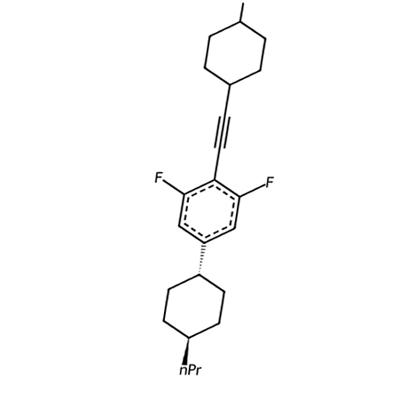 CCC[C@H]1CC[C@H](c2cc(F)c(C#CC3CCC(C#N)CC3)c(F)c2)CC1